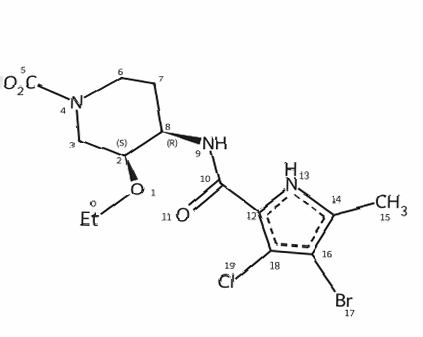 CCO[C@H]1CN(C(=O)O)CC[C@H]1NC(=O)c1[nH]c(C)c(Br)c1Cl